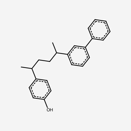 CC(CCC(C)c1cccc(-c2ccccc2)c1)c1ccc(O)cc1